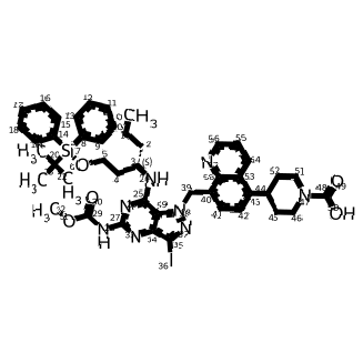 CCC[C@@H](CCO[Si](c1ccccc1)(c1ccccc1)C(C)(C)C)Nc1nc(NC(=O)OC)nc2c(I)nn(Cc3ccc(C4CCN(C(=O)O)CC4)c4cccnc34)c12